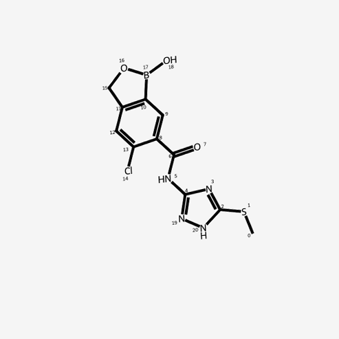 CSc1nc(NC(=O)c2cc3c(cc2Cl)COB3O)n[nH]1